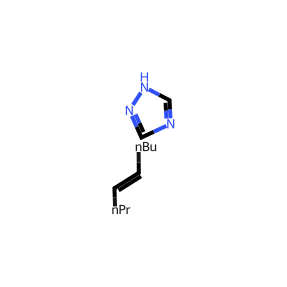 CCCC=CCCCC.c1nc[nH]n1